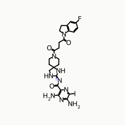 Nc1nc(N)c(C(=O)/N=C2\NCC3(CCN(C(=O)CCC(=O)N4CCc5cc(F)ccc54)CC3)N2)nc1I